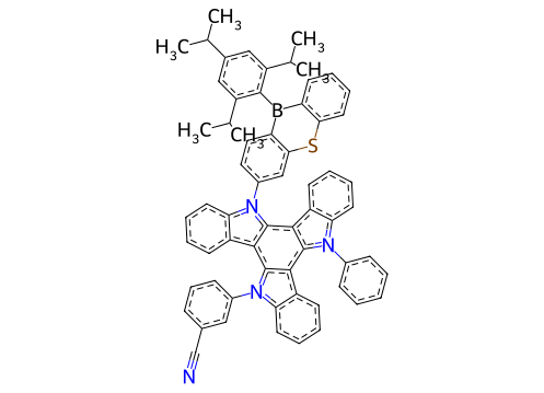 CC(C)c1cc(C(C)C)c(B2c3ccccc3Sc3cc(-n4c5ccccc5c5c6c(c7ccccc7n6-c6cccc(C#N)c6)c6c(c7ccccc7n6-c6ccccc6)c54)ccc32)c(C(C)C)c1